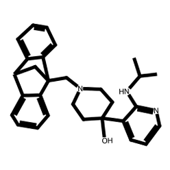 CC(C)Nc1ncccc1C1(O)CCN(CC23CC(c4ccccc42)c2ccccc23)CC1